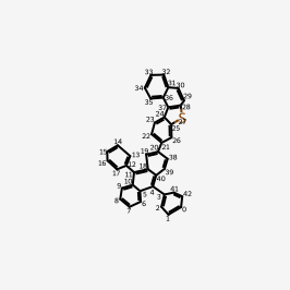 c1ccc(-c2c3ccccc3c(-c3ccccc3)c3cc(-c4ccc5c(c4)sc4ccc6ccccc6c45)ccc23)cc1